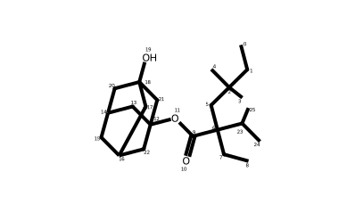 CCC(C)(C)CC(CC)(C(=O)OC12CC3CC(CC(O)(C3)C1)C2)C(C)C